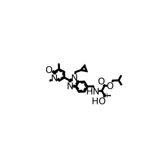 Cc1cc(-c2nc3ccc(CNC(C(=O)OCC(C)C)[C@@H](C)O)cc3n2CC2CC2)cn(C)c1=O